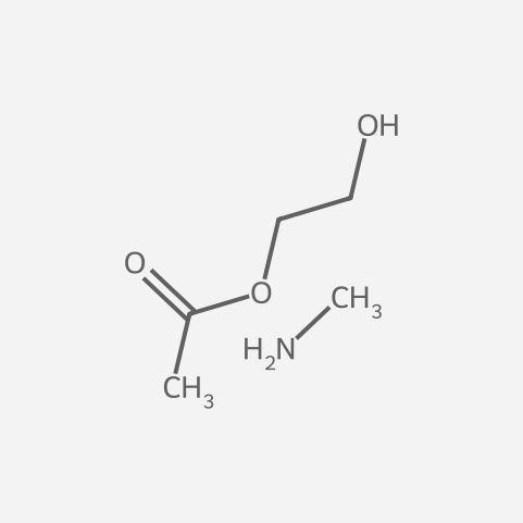 CC(=O)OCCO.CN